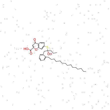 CCCCCCCCCCCCCCCc1ccccc1C[C@@](O)(CCC)Sc1ccc2c(=O)cc(C(=O)O)oc2c1